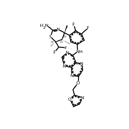 C[C@H]1[C@@](C)(c2cc(Nc3ncnc4nc(OCc5ncco5)cnc34)cc(F)c2F)N=C(N)S[C@]1(C)C(F)F